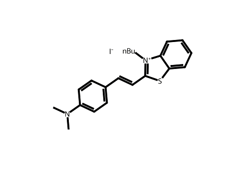 CCCC[n+]1c(/C=C/c2ccc(N(C)C)cc2)sc2ccccc21.[I-]